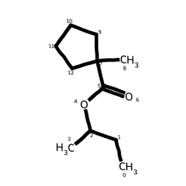 CCC(C)OC(=O)C1(C)CCCC1